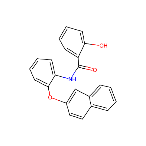 O=C(Nc1ccccc1Oc1ccc2ccccc2c1)c1ccccc1O